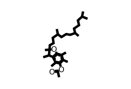 CC(=O)Oc1c(C)c(C)c2c(c1C)C(C)C(C)(CCCC(C)CCCC(C)CCCC(C)C)O2